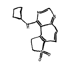 O=S1(=O)CCc2c1ccc1ncnc(NC3CCC3)c21